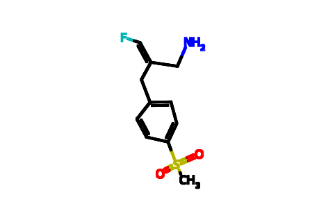 CS(=O)(=O)c1ccc(C/C(=C\F)CN)cc1